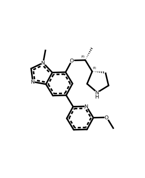 COc1cccc(-c2cc(O[C@H](C)[C@@H]3CCNC3)c3c(c2)ncn3C)n1